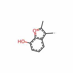 [CH2]c1c(C)oc2c(O)cccc12